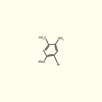 COc1nc(C(=O)O)c([N+](=O)[O-])cc1Br